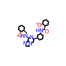 COc1ccccc1CNc1nc(-c2cccc(NC(=O)c3ccccc3OC)c2)cn2ccnc12